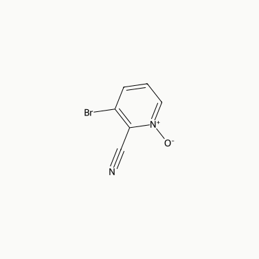 N#Cc1c(Br)ccc[n+]1[O-]